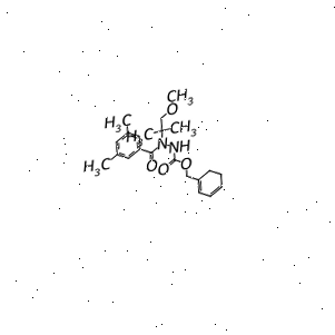 COCC(C)(C)N(NC(=O)OCC1=CC=CCC1)C(=O)c1cc(C)cc(C)c1